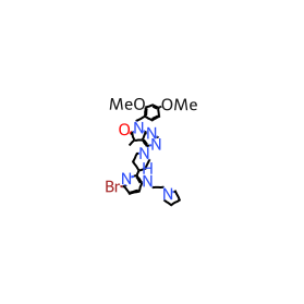 COc1ccc(CN2C(=O)C(C)c3c(N4CCC(c5nc(Br)ccc5NCCN5CCCC5)CC4)ncnc32)c(OC)c1